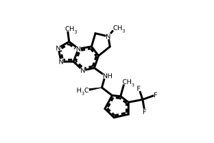 Cc1c([C@@H](C)Nc2nc3nnc(C)n3c3c2CN(C)C3)cccc1C(F)(F)F